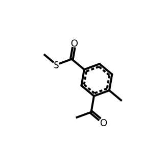 CSC(=O)c1ccc(C)c(C(C)=O)c1